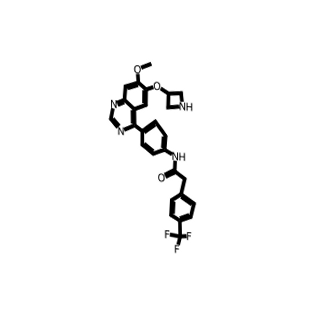 COc1cc2ncnc(-c3ccc(NC(=O)Cc4ccc(C(F)(F)F)cc4)cc3)c2cc1OC1CNC1